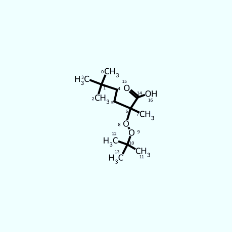 CC(C)(C)CCC(C)(OOC(C)(C)C)C(=O)O